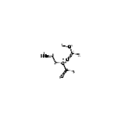 CC(=O)OCC=N.COC(C)=O